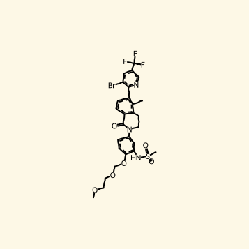 COCCOCOc1ccc(N2CCc3c(ccc(-c4ncc(C(F)(F)F)cc4Br)c3C)C2=O)cc1NS(C)(=O)=O